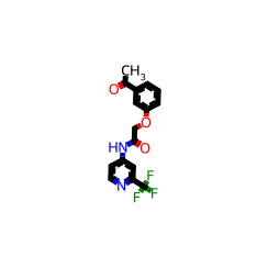 CC(=O)c1cccc(OCC(=O)Nc2ccnc(C(F)(F)F)c2)c1